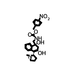 CN1CCC[C@H]1C1=C(O)C[C@](O)(CNC(=O)OCc2ccc([N+](=O)[O-])cc2)c2ccccc21